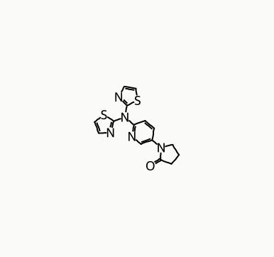 O=C1CCCN1c1ccc(N(c2nccs2)c2nccs2)nc1